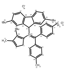 CC1=CC[C]([Zr+2](=[C](c2ccc(C)cc2)c2ccc(C)cc2)[CH]2c3cc(C(C)(C)C)ccc3-c3ccc(C(C)(C)C)cc32)=C1C(C)(C)C.[Cl-].[Cl-]